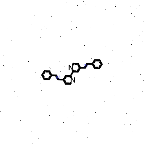 C(=C\c1ccnc(-c2cc(/C=C/c3ccccc3)ccn2)c1)/c1ccccc1